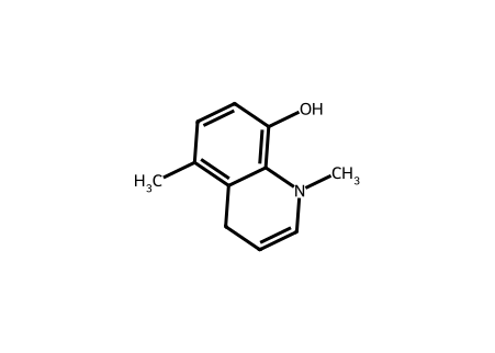 Cc1ccc(O)c2c1CC=CN2C